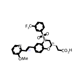 COc1cccnc1/C=C/c1ccc2c(c1)N(S(=O)(=O)c1cccc(C(F)(F)F)c1)C[C@H](CCC(=O)O)O2